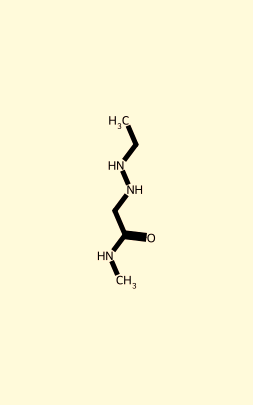 CCNNCC(=O)NC